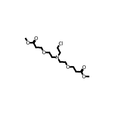 COC(=O)CCOCCN(CCCl)CCOCCC(=O)OC